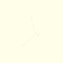 CCCCCCCCCCCCC1NCCOC1CCCCCCCCCCCC.F